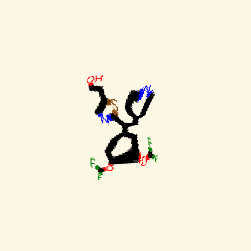 OCCc1cnc(C(Cc2ccncc2)c2ccc(OC(F)F)c(OC(F)F)c2)s1